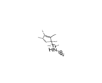 CC1=C[C](C)([Ti]([CH3])([CH3])[NH]C(C)(C)C)C(C)=C1C